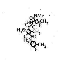 CNC(=O)C1(NC(=O)C(=O)c2c(C)c(C(=O)Nc3ccc(F)c(C)c3)c(C)n2C)CC(C)(F)C1